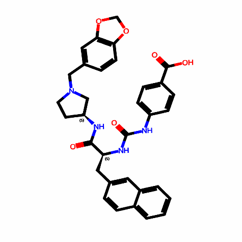 O=C(Nc1ccc(C(=O)O)cc1)N[C@@H](Cc1ccc2ccccc2c1)C(=O)N[C@H]1CCN(Cc2ccc3c(c2)OCO3)C1